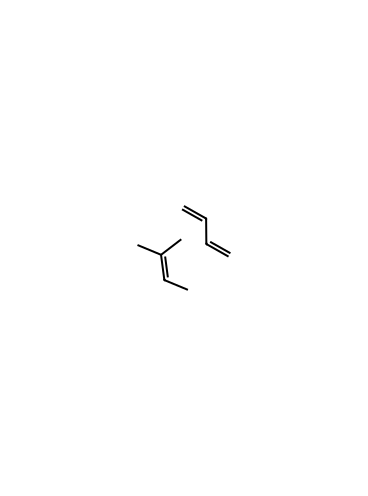 C=CC=C.CC=C(C)C